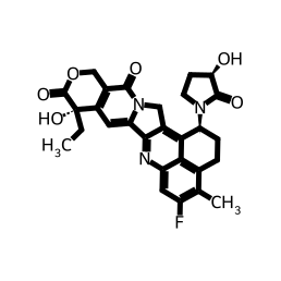 CC[C@@]1(O)C(=O)OCc2c1cc1n(c2=O)Cc2c-1nc1cc(F)c(C)c3c1c2[C@@H](N1CC[C@@H](O)C1=O)CC3